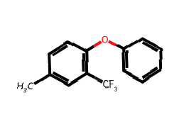 Cc1ccc(Oc2ccccc2)c(C(F)(F)F)c1